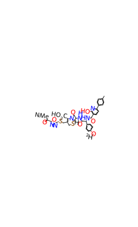 [2H]Oc1ccc(C(NC(=O)c2ccc(-c3ccc(C)cc3)nc2O)C(=O)NC2C(=O)N3C(C(=O)O)=C(CSc4nnc(C(=O)NC)o4)CS[C@@H]23)cc1